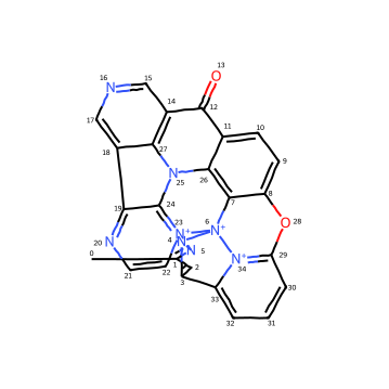 Cc1cc2n(n1)[N+]13c4c(ccc5c(=O)c6cncc7c8ncc[n+]1c8n(c45)c67)Oc1cccc-2[n+]13